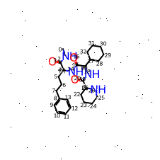 CNC(=O)[C@H](CCCc1ccccc1)NC(=O)[C@H](NC(=O)[C@@H]1CCCCN1)C1CCCCC1